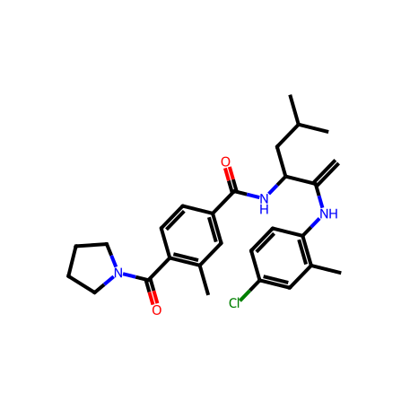 C=C(Nc1ccc(Cl)cc1C)C(CC(C)C)NC(=O)c1ccc(C(=O)N2CCCC2)c(C)c1